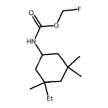 CCC1(C)CC(NC(=O)OCF)CC(C)(C)C1